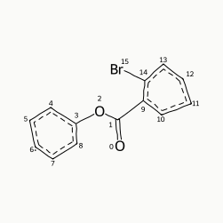 O=C(Oc1cc[c]cc1)c1ccccc1Br